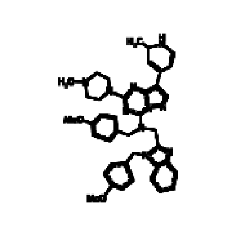 COc1ccc(CN(Cc2nc3ccccc3n2Cc2ccc(OC)cc2)c2nc(N3CCN(C)CC3)nc3c(C4=CC(C)NC=C4)cnn23)cc1